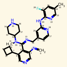 C=Nc1cncc(C2CCC2)c1/C(=N\Cc1ccnc(Nc2ncc(C)cc2F)c1)N(C)C1CCNCC1